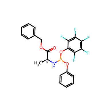 C[C@H](NP(Oc1ccccc1)Oc1c(F)c(F)c(F)c(F)c1F)C(=O)OCc1ccccc1